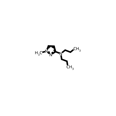 CCCN(CCC)c1ccn(C)n1